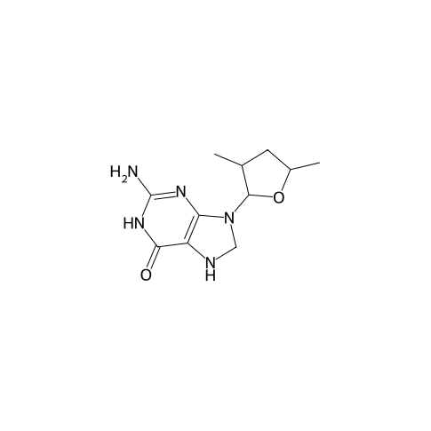 CC1CC(C)C(N2CNc3c2nc(N)[nH]c3=O)O1